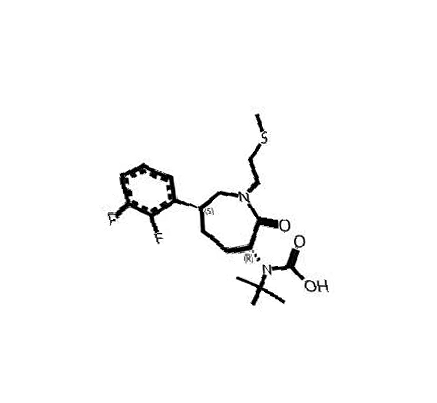 CSCCN1C[C@H](c2cccc(F)c2F)CC[C@@H](N(C(=O)O)C(C)(C)C)C1=O